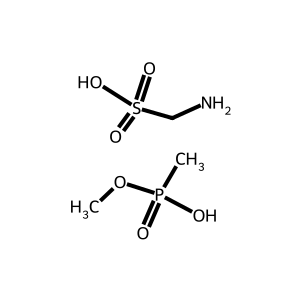 COP(C)(=O)O.NCS(=O)(=O)O